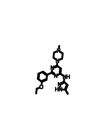 CCOc1cccc(-c2nc(Nc3cc(C)[nH]n3)cc(N3CCN(C)CC3)n2)c1